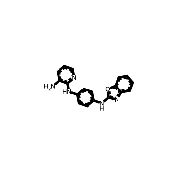 Nc1cccnc1Nc1ccc(Nc2nc3ccccc3o2)cc1